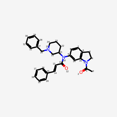 CC(=O)N1CCc2ccc(N(C(=O)/C=C/c3ccccc3)C3CCCN(Cc4ccccc4)C3)cc21